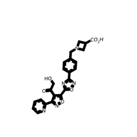 O=C(CO)c1c(-c2ccccn2)noc1-c1nc(-c2ccc(CN3CC(C(=O)O)C3)cc2)no1